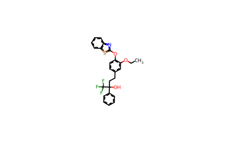 CCOc1cc(CCC(O)(c2ccccc2)C(F)(F)F)ccc1Oc1nc2ccccc2s1